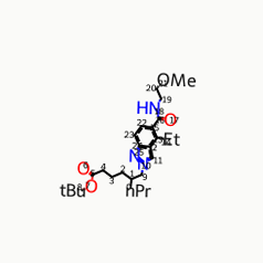 CCCC(CCCC(=O)OC(C)(C)C)Cn1cc2c(CC)c(C(=O)NCCOC)ccc2n1